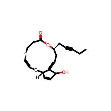 CCC#CC[C@H]1C/C=C2/C(O)C=C[C@@H]2C/C=C\CCCC(=O)O1